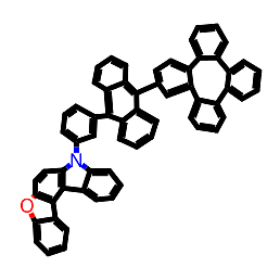 c1cc(-c2c3ccccc3c(-c3ccc4c(c3)-c3ccccc3-c3ccccc3-c3ccccc3-4)c3ccccc23)cc(-n2c3ccccc3c3c4c(ccc32)oc2ccccc24)c1